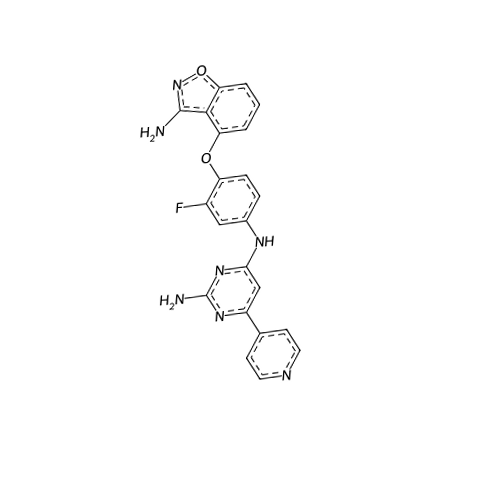 Nc1nc(Nc2ccc(Oc3cccc4onc(N)c34)c(F)c2)cc(-c2ccncc2)n1